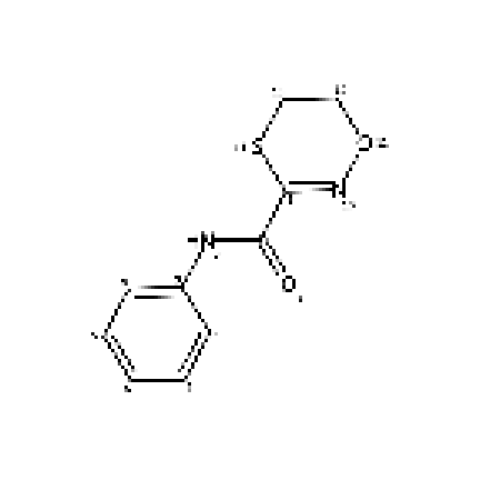 O=C(Nc1ccccc1)C1=NOCCS1